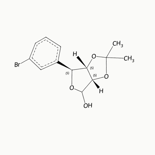 CC1(C)O[C@@H]2[C@H](O1)C(O)O[C@H]2c1cccc(Br)c1